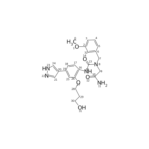 COc1cccc(CN(CC(N)=O)C(=O)Nc2ccc(-c3cn[nH]c3)cc2OCCCO)c1